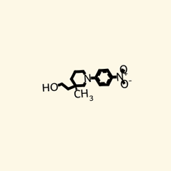 C[C@@]1(CCO)CCCN(c2ccc([N+](=O)[O-])cc2)C1